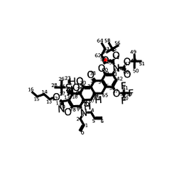 C=CCN(CC=C)[C@@H]1c2onc(OCCCC)c2C(=O)[C@@]2(O[Si](C)(C)C(C)(C)C)C(O)=C3C(=O)c4c(c(OC(F)(F)F)cc(N(C(=O)OC(C)(C)C)C(=O)OC(C)(C)C)c4OCCCC)C[C@H]3C[C@@H]12